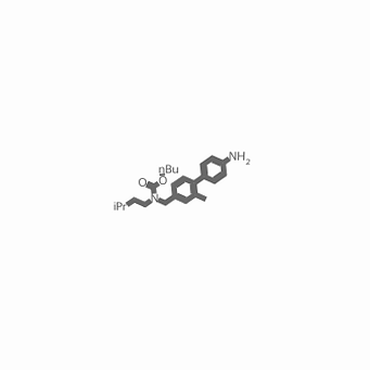 CCCCOC(=O)N(CCC(C)C)Cc1ccc(-c2ccc(N)cc2)c(C)c1